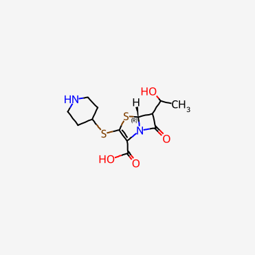 CC(O)C1C(=O)N2C(C(=O)O)=C(SC3CCNCC3)S[C@H]12